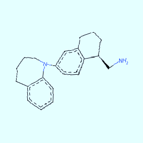 NC[C@@H]1CCCc2cc(N3CCCCc4ccccc43)ccc21